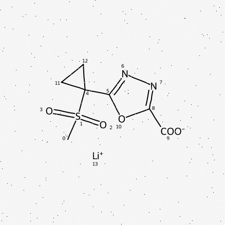 CS(=O)(=O)C1(c2nnc(C(=O)[O-])o2)CC1.[Li+]